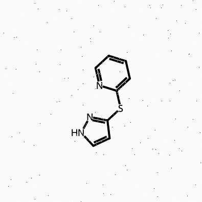 c1ccc(Sc2cc[nH]n2)nc1